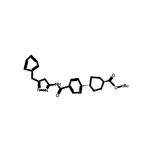 CC(C)(C)OC(=O)[C@H]1CC[C@H](c2ccc(C(=O)NC3=NN=C(Cc4ccccc4)C3)cc2)CC1